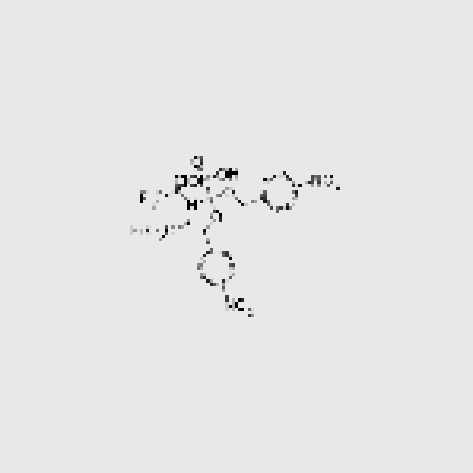 CCOC(=O)CN(C(=O)C(F)(F)F)C(OCc1ccc([N+](=O)[O-])cc1)(OCc1ccc([N+](=O)[O-])cc1)P(=O)(O)O